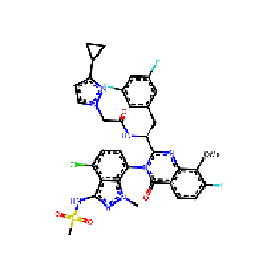 COc1c(F)ccc2c(=O)n(-c3ccc(Cl)c4c(NS(C)(=O)=O)nn(C)c34)c([C@H](Cc3cc(F)cc(F)c3)NC(=O)Cn3ccc(C4CC4)n3)nc12